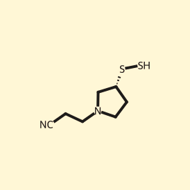 N#CCCN1CC[C@@H](SS)C1